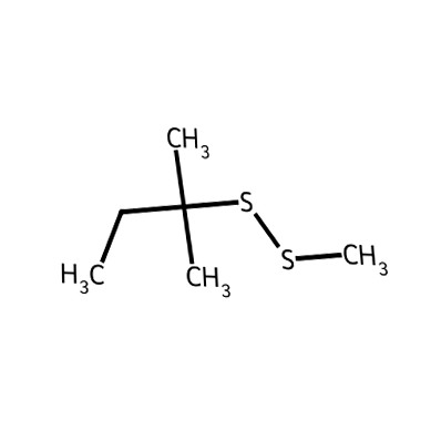 CCC(C)(C)SSC